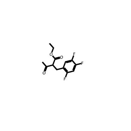 CCOC(=O)C(Cc1cc(F)c(F)cc1F)C(C)=O